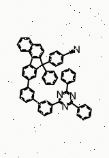 N#Cc1ccc(C2(c3ccccc3)c3cc(-c4cccc(-c5cccc(-c6nc(-c7ccccc7)nc(-c7ccccc7)n6)c5)c4)ccc3-c3c2ccc2ccccc32)cc1